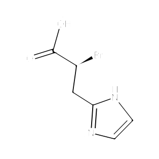 O=C(O)[C@@H](Br)Cc1ncc[nH]1